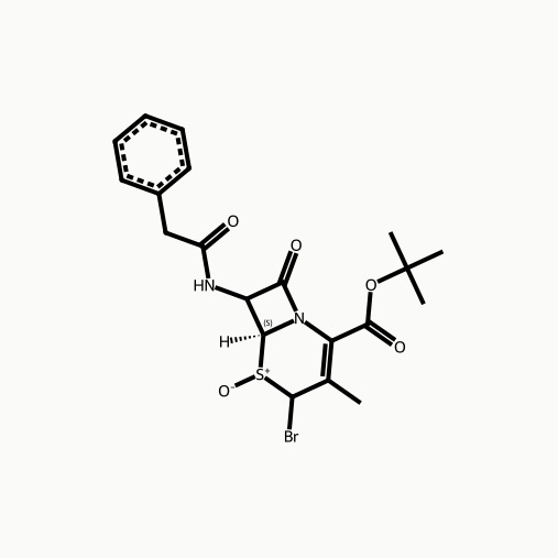 CC1=C(C(=O)OC(C)(C)C)N2C(=O)C(NC(=O)Cc3ccccc3)[C@@H]2[S+]([O-])C1Br